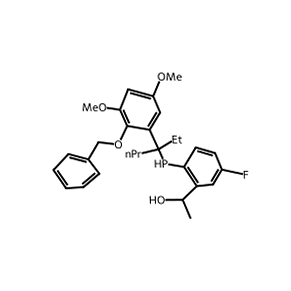 CCCC(CC)(Pc1ccc(F)cc1C(C)O)c1cc(OC)cc(OC)c1OCc1ccccc1